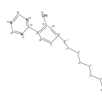 CCCCCCCCc1ccc(-c2ncncn2)c(O)c1